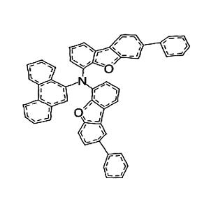 c1ccc(-c2ccc3c(c2)oc2c(N(c4cc5ccccc5c5ccccc45)c4cccc5c4oc4ccc(-c6ccccc6)cc45)cccc23)cc1